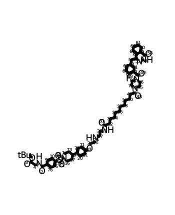 CC(C)(C)OC(=O)CNC(=O)c1ccc(S(=O)(=O)N2CCC(c3ccc(OCCNCCNC(=O)CCCCCCCCCCC(=O)N4CCN(C(=O)c5cc(Cc6n[nH]c(=O)c7ccccc67)ccc5F)CC4)cc3)CC2)cc1